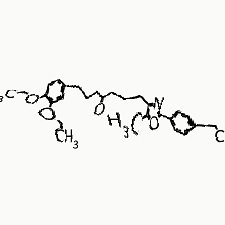 CCOc1ccc(CCCC(=O)CCCc2nc(-c3ccc(CC)cc3)oc2C)cc1OCC